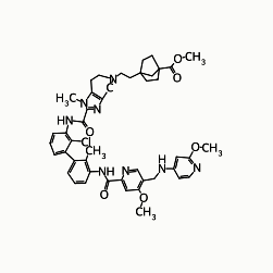 COC(=O)C12CCC(CCN3CCc4c(nc(C(=O)Nc5cccc(-c6cccc(NC(=O)c7cc(OC)c(CNc8ccnc(OC)c8)cn7)c6C)c5Cl)n4C)C3)(CC1)C2